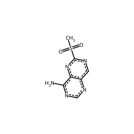 CS(=O)(=O)c1ncc2ncnc(N)c2n1